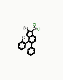 CCc1ccccc1-c1c(-c2ccccc2)ccc2c1C=C(C(C)CC)[CH]2[Zr]([Cl])[Cl]